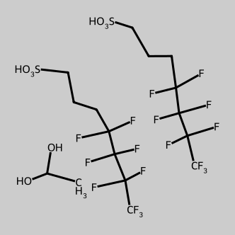 CC(O)O.O=S(=O)(O)CCCC(F)(F)C(F)(F)C(F)(F)C(F)(F)F.O=S(=O)(O)CCCC(F)(F)C(F)(F)C(F)(F)C(F)(F)F